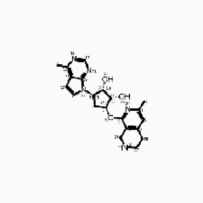 Cc1cc2c(c(O[C@H]3C[C@@H](n4ccc5c(C)ncnc54)[C@H](O)[C@@H]3O)n1)CNCC2